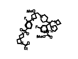 CCC(=O)N1CCC12CN(S(=O)(=O)c1ccc(N3CC(CN4CCC([C@@](CN5CCC5)(c5cccc(F)c5)[C@H]5CCC[C@@H]5NC(=O)OC)CC4)(OC)C3)c(F)c1)C2